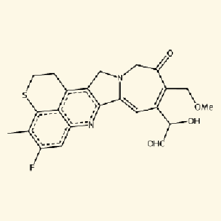 COCC1=C(C(O)C=O)C=C2c3nc4cc(F)c(C)c5c4c(c3CN2CC1=O)CCS5